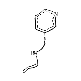 S=[C]NCc1cccnc1